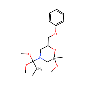 COC(OC)([SiH2]C)N1CC(COc2ccccc2)O[Si](C)(OC)C1